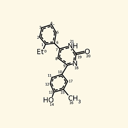 CCc1cc[c]cc1-c1cc(-c2ccc(O)c(C)c2)nc(=O)[nH]1